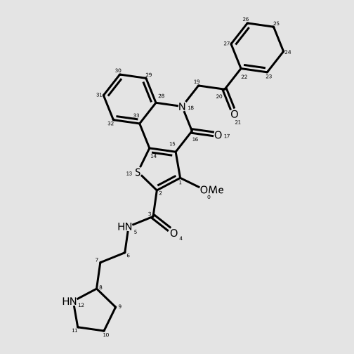 COc1c(C(=O)NCCC2CCCN2)sc2c1c(=O)n(CC(=O)C1=CCCC=C1)c1ccccc21